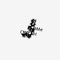 COc1nc(NC2CC(C)(NC(=O)C3(C#N)CC3)C2)nn2ccc(-c3ccn4nccc4c3)c12